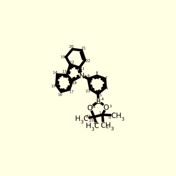 CC1(C)OB(c2cccc(-n3c4c(c5ccccc53)CCC=C4)c2)OC1(C)C